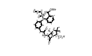 COC(=O)c1ncccc1N(c1cccc(CC(=O)N[C@@H]2C(=O)N3[C@@H]2SC(C)(C)[C@@H]3C(=O)O)c1)S(=O)(=O)N=C=O